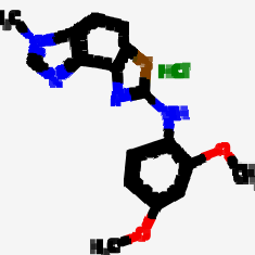 COc1ccc(Nc2nc3c(ccc4c3ncn4C)s2)c(OC)c1.Cl